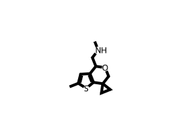 CNCC1OCC2(CC2)c2sc(C)cc21